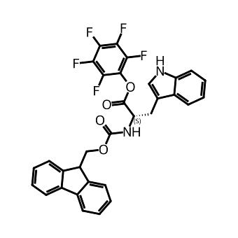 O=C(N[C@@H](Cc1c[nH]c2ccccc12)C(=O)Oc1c(F)c(F)c(F)c(F)c1F)OCC1c2ccccc2-c2ccccc21